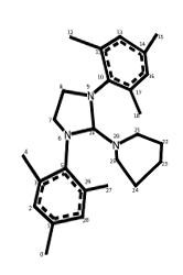 Cc1cc(C)c(N2CCN(c3c(C)cc(C)cc3C)C2N2CCCCC2)c(C)c1